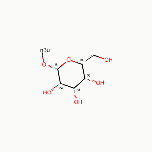 CCCCO[C@@H]1O[C@H](CO)[C@H](O)[C@H](O)[C@@H]1O